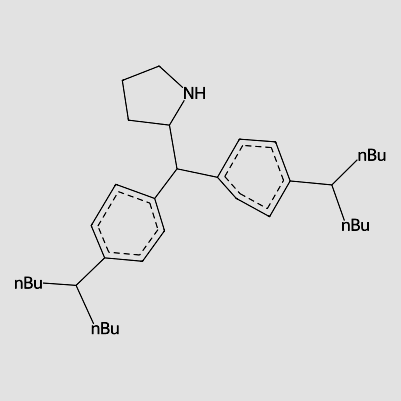 CCCCC(CCCC)c1ccc(C(c2ccc(C(CCCC)CCCC)cc2)C2CCCN2)cc1